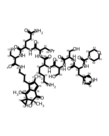 CC1=C(CCCNC(=O)C(CC(C)C)NC(=O)C(CCC(N)=O)NC(=O)C(CC(C)C)NC(=O)C(CCCCN)NC(=O)C(CO)NC(=O)C(CO)NC(=O)C(Cc2c[nH]cn2)NC(=O)N2CCOCC2)C2=C(C)C3(CC3)[C@@](C)(O)C(=O)C2=C1